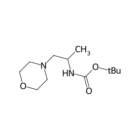 CC(CN1CCOCC1)NC(=O)OC(C)(C)C